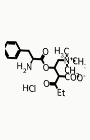 CCC(=O)C(C(=O)[O-])C(C[N+](C)(C)C)OC(=O)[C@@H](N)Cc1ccccc1.Cl